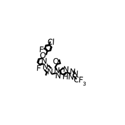 CC1CN(c2nc(OCc3ccc(Cl)cc3F)ccc2F)CCN1Cc1nc2cc(-c3nnc(C(F)(F)F)[nH]3)ncc2n1CC1CCO1